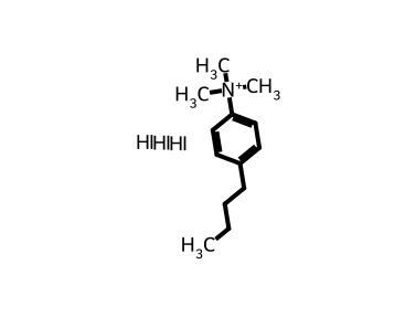 CCCCc1ccc([N+](C)(C)C)cc1.I.I.I